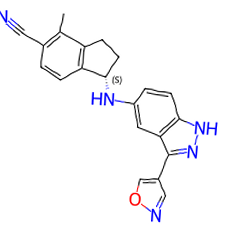 Cc1c(C#N)ccc2c1CC[C@@H]2Nc1ccc2[nH]nc(-c3cnoc3)c2c1